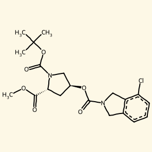 COC(=O)[C@H]1C[C@H](OC(=O)N2Cc3cccc(Cl)c3C2)CN1C(=O)OC(C)(C)C